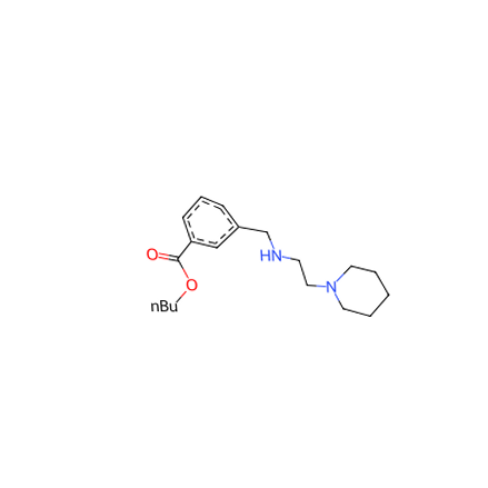 CCCCOC(=O)c1cccc(CNCCN2CCCCC2)c1